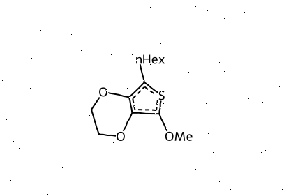 CCCCCCc1sc(OC)c2c1OCCO2